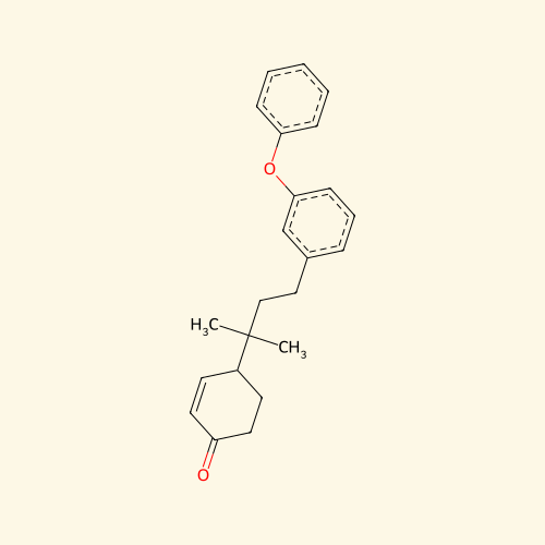 CC(C)(CCc1cccc(Oc2ccccc2)c1)C1C=CC(=O)CC1